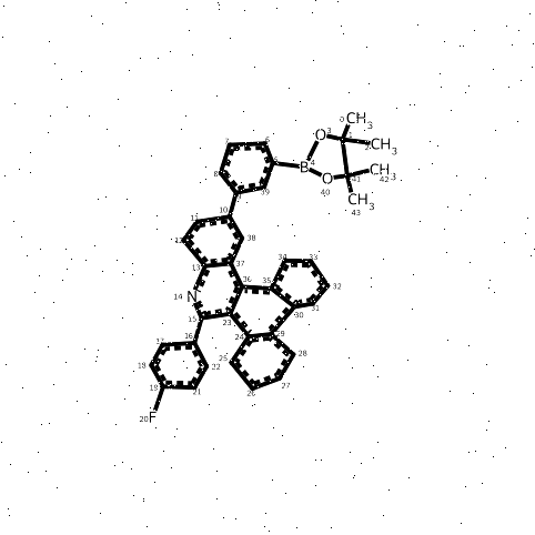 CC1(C)OB(c2cccc(-c3ccc4nc(-c5ccc(F)cc5)c5c6ccccc6c6ccccc6c5c4c3)c2)OC1(C)C